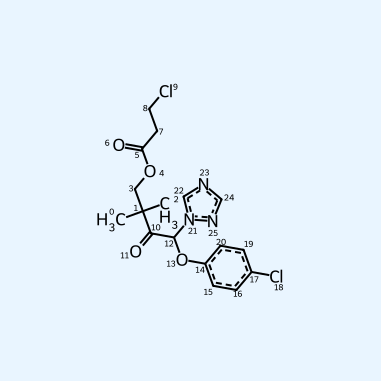 CC(C)(COC(=O)CCCl)C(=O)C(Oc1ccc(Cl)cc1)n1cncn1